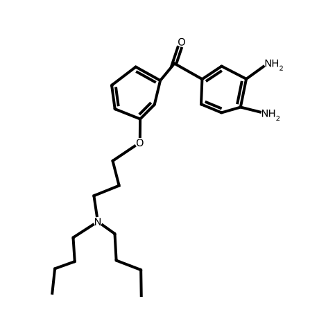 CCCCN(CCCC)CCCOc1cccc(C(=O)c2ccc(N)c(N)c2)c1